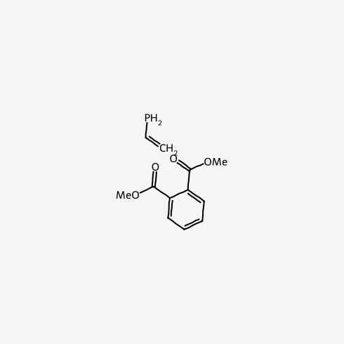 C=CP.COC(=O)c1ccccc1C(=O)OC